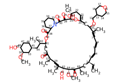 C=C[C@@H]1/C=C/C=C/C=C(\C)C(OCC2CCOCC2)C[C@@H]2CC[C@@H](C)[C@@](O)(O2)C(=O)C(=O)N2CCCCC2C(=O)O[C@H]([C@H](C)C[C@@H]2CC[C@@H](O)[C@H](OC)C2)CC(=O)[C@H](C)/C=C(\C)[C@@H](O)[C@@H](OC)C(=O)[C@H](C)C1